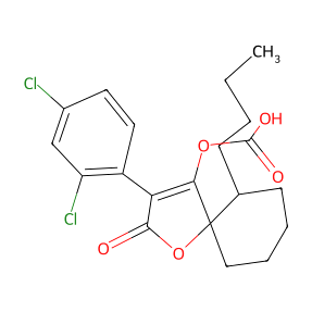 CCCCC1CCCCC12OC(=O)C(c1ccc(Cl)cc1Cl)=C2OC(=O)O